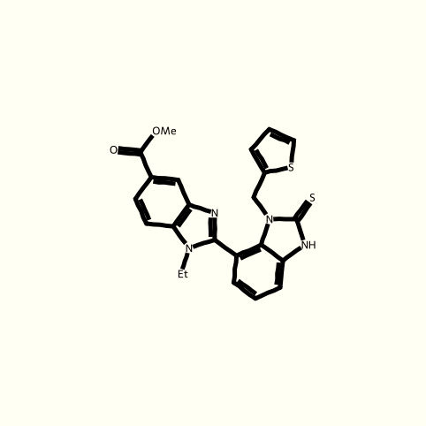 CCn1c(-c2cccc3[nH]c(=S)n(Cc4cccs4)c23)nc2cc(C(=O)OC)ccc21